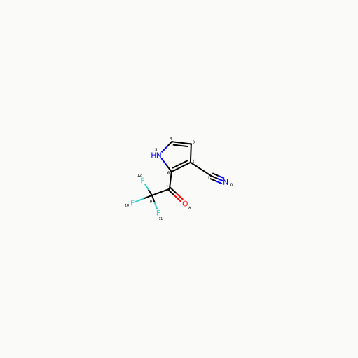 N#Cc1cc[nH]c1C(=O)C(F)(F)F